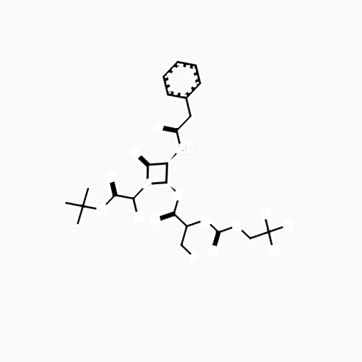 CC(C)(C)OC(=O)C(Cl)N1C(=O)[C@@H](NC(=O)Cc2ccccc2)[C@H]1SC(=O)C(CF)OC(=O)OCC(Cl)(Cl)Cl